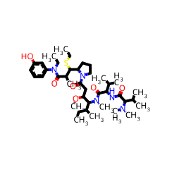 CCSC(C(C)C(=O)N(CC)c1cccc(O)c1)C1CCCN1C(=O)CC(OC)C(C(C)CC)N(C)C(=O)C(NC(=O)C(C(C)C)N(C)C)C(C)C